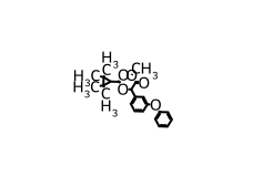 COC(=O)C(OC(=O)C1C(C)(C)C1(C)C)c1cccc(Oc2ccccc2)c1